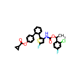 CC(OC(=O)Nc1cc(F)sc1-c1ccccc1-c1ccc(OC(=O)C2CC2)cc1)c1ccc(F)cc1Cl